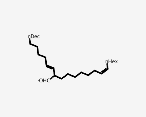 CCCCCC/C=C\CCCCCCC([C]=O)C=CCCCCCCCCCCCCCC